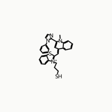 CN1C(c2nccn2-c2ccccc2)=C/C(=C\c2sc3ccccc3[n+]2CCCS)c2ccccc21